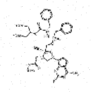 C#C[C@]1(CO[P@@](=O)(N[C@@H](Cc2ccccc2)C(=O)OC(CCCCCCCCCCC)CCCCCCCCCCC)Oc2ccccc2)O[C@@H](n2cnc3c(N)nc(F)nc32)C[C@@H]1OC(=O)NCCCCCC